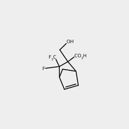 O=C(O)C1(CO)C2C=CC(C2)C1(F)C(F)(F)F